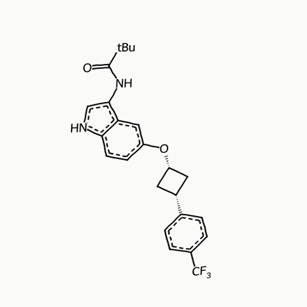 CC(C)(C)C(=O)Nc1c[nH]c2ccc(O[C@H]3C[C@@H](c4ccc(C(F)(F)F)cc4)C3)cc12